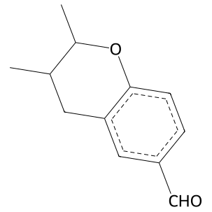 CC1Cc2cc(C=O)ccc2OC1C